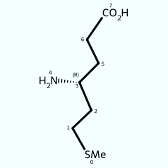 CSCC[C@H](N)CCC(=O)O